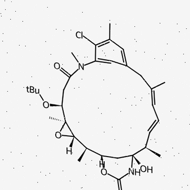 C=C1N[C@]2(O)C[C@H](O1)[C@@H](C)[C@@H]1O[C@@]1(C)[C@@H](OC(C)(C)C)CC(=O)N(C)c1cc(cc(C)c1Cl)C/C(C)=C/C=C/[C@H]2C